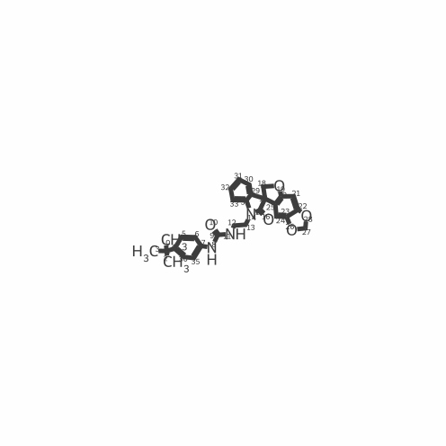 CC(C)(C)c1ccc(NC(=O)NCCN2C(=O)C3(COc4cc5c(cc43)OCO5)c3ccccc32)cc1